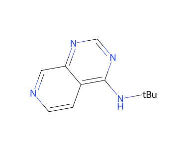 CC(C)(C)Nc1ncnc2cnccc12